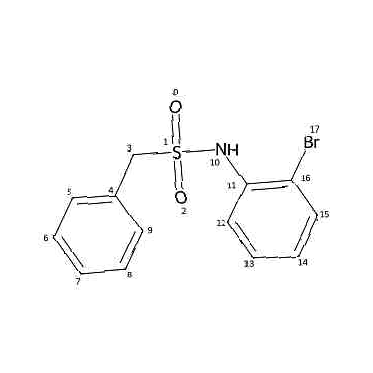 O=S(=O)(Cc1ccccc1)Nc1ccc[c]c1Br